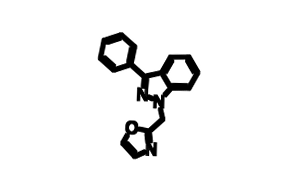 c1ccc(-c2nn(Cc3ncco3)c3ccccc23)cc1